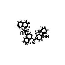 O=C(c1ccc(NS(=O)(=O)c2cccc3cccnc23)c2ccccc12)N1CCC(O)(c2ccccc2Cl)CC1